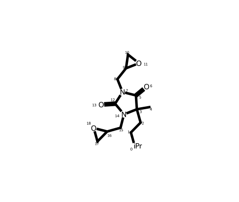 CC(C)CCC1(C)C(=O)N(CC2CO2)C(=O)N1CC1CO1